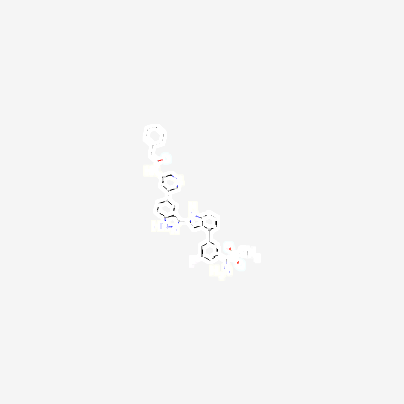 CS(=O)(=O)C(N)c1cc(F)cc(-c2cccc3[nH]c(-c4n[nH]c5ccc(-c6cncc(NC(=O)CC7CCCCC7)c6)cc45)cc23)c1